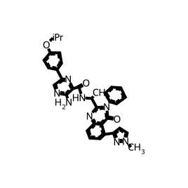 CC(C)Oc1ccc(-c2cnc(N)c(C(=O)NC(C)c3nc4cccc(-c5ccn(C)n5)c4c(=O)n3-c3ccccc3)n2)cc1